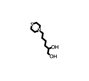 OCC(O)CCCCN1CCSCC1